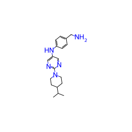 CC(C)C1CCN(c2ncc(Nc3ccc(CN)cc3)cn2)CC1